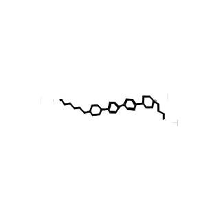 CCCCCCCC1CCC(c2ccc(-c3ccc(C4CCC(C)(CCCCC)CC4)cc3)cc2)CC1